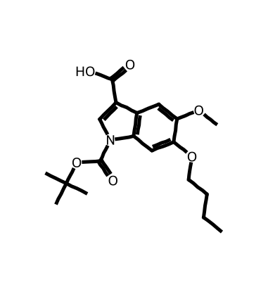 CCCCOc1cc2c(cc1OC)c(C(=O)O)cn2C(=O)OC(C)(C)C